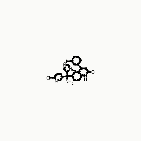 Cn1cncc1C(N)(c1ccc(Cl)nc1)c1ccc2[nH]c(=O)cc(-c3cccc(Cl)c3)c2c1